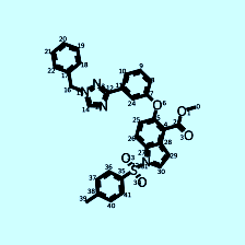 COC(=O)c1c(Oc2cccc(-c3ncn(Cc4ccccc4)n3)c2)ccc2c1ccn2S(=O)(=O)c1ccc(C)cc1